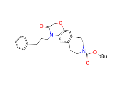 CC(C)(C)OC(=O)N1CCc2cc3c(cc2CC1)N(CCCc1ccccc1)C(=O)CO3